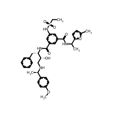 CCS(=O)(=O)Nc1cc(C(=O)NC(C)c2ccc(C)o2)cc(C(=O)N[C@@H](Cc2ccccc2)[C@H](O)CN[C@H](C)c2ccc(OC)cc2)c1